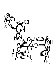 Cc1nnc(C(OC[C@H]2O[C@@H](n3cnc4c(NC(=O)OC(C)(C)C)nc(Cl)nc43)[C@@H]3OC(C)(C)O[C@@H]32)P(=O)(O)O)o1